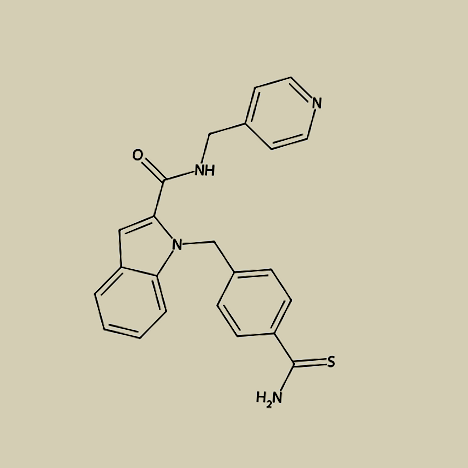 NC(=S)c1ccc(Cn2c(C(=O)NCc3ccncc3)cc3ccccc32)cc1